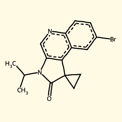 CC(C)N1C(=O)C2(CC2)c2c1cnc1ccc(Br)cc21